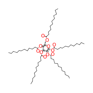 CCCCCCCCCCCC(=O)OC[C@H]1O[C@H](OC(=O)CCCCCCCCCCC)[C@H](OC(=O)CCCCCCCCCCC)[C@@H](OC(=O)CCCCCCCCCCC)[C@H]1OC(=O)CCCCCCCCCCC